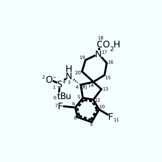 CC(C)(C)[S+]([O-])N[C@H]1c2c(F)ccc(F)c2CC12CCN(C(=O)O)CC2